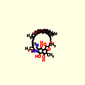 CC/N=C/c1c2c(O)c3c(O)c(C)c4c(c3c1O)C(=O)[C@@](C)(O/C=C/[C@H](OC)[C@@H](C)[C@@H](C)[C@H](C)[C@H](O)[C@H](C)[C@@H](O)[C@@H](C)/C=C/C=C(/C)C(=O)N2)O4